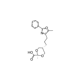 Cc1oc(-c2ccccc2)nc1CCC[C@H]1CO[C@](C)(C(=O)O)OC1